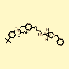 CC(C)(C)c1ccc(O[C@@H](Cc2ccc(OCCN[C@H]3[C@@H]4CN(Cc5ccccc5)C[C@@H]43)cc2)C(=O)O)cc1